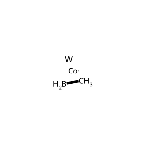 BC.[Co].[W]